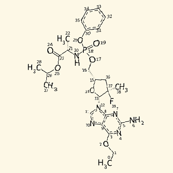 CCOc1nc(N)nc2c1ncn2[C@@H]1O[C@H](COP(=O)(N[C@@H](C)C(=O)OC(C)C)Oc2ccccc2)C[C@@]1(C)F